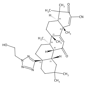 CC1(C)CC[C@]2(c3nnn(CCO)n3)CC[C@]3(C)[C@H](C(=O)C=C4[C@@]5(C)C=C(C#N)C(=O)C(C)(C)[C@@H]5CC[C@]43C)[C@@H]2C1